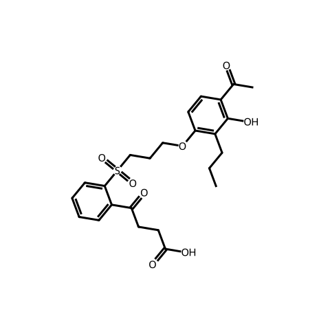 CCCc1c(OCCCS(=O)(=O)c2ccccc2C(=O)CCC(=O)O)ccc(C(C)=O)c1O